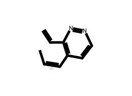 C=Cc1nnccc1/C=C\C